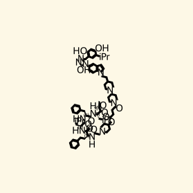 CC(C)C[C@H](NC(=O)[C@H](CCc1ccccc1)NC(=O)CN1CCC(OC(=O)CCC(=O)N2CCC(N3CCC(CCn4ccc5cc(-n6c(O)nnc6-c6cc(C(C)C)c(O)cc6O)ccc54)CC3)CC2)CC1)C(=O)N[C@@H](Cc1ccccc1)C(=O)N[C@@H](CC(C)C)C(=O)[C@@]1(C)CO1